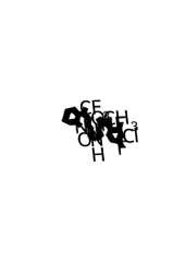 CN(C(=O)C1CNC(=O)N1c1cc(C(F)(F)F)c2ccccc2n1)c1ccc(F)c(Cl)c1F